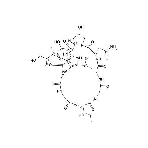 CC[C@H](C)[C@@H]1NC(=O)CNC(=O)C2Cc3c([nH]c4cc(O)ccc34)[S+]([O-])CC(NC(=O)CNC1=O)C(=O)N[C@@H](CC(N)=O)C(=O)N1CC(O)C[C@H]1C(=O)N[C@@H]([C@@H](C)[C@@H](O)CO)C(=O)N2